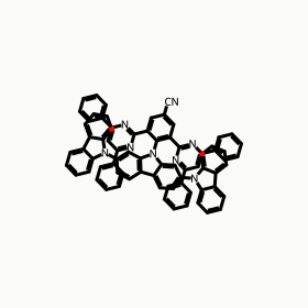 N#Cc1cc(-c2nc(-c3ccccc3)cc(-c3ccccc3)n2)c(-n2c3cc(-n4c5ccccc5c5ccccc54)ccc3c3ccc(-n4c5ccccc5c5ccccc54)cc32)c(-c2nc(-c3ccccc3)cc(-c3ccccc3)n2)c1